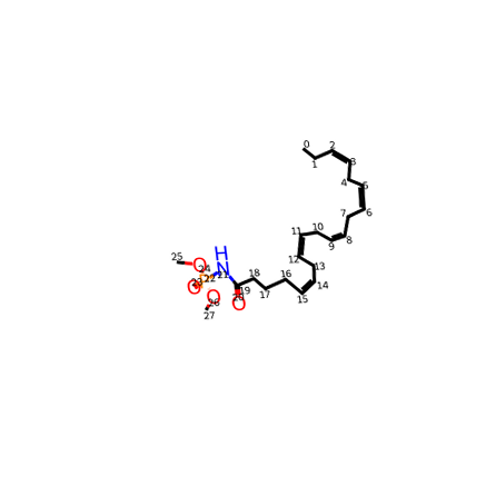 CC/C=C\C/C=C\C/C=C\C/C=C\C/C=C\CCCC(=O)NP(=O)(OC)OC